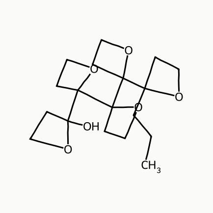 CCCC1(C2(C3(C4(C5(O)CCO5)CCO4)CCO3)CCO2)CCO1